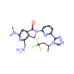 CC(CC(F)(F)F)n1cnnc1-c1cccc(N2Cc3c(cc(N(C)C)nc3CN)C2=O)n1